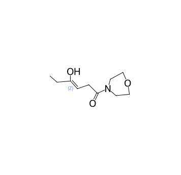 CC/C(O)=C/CC(=O)N1CCOCC1